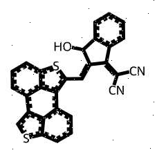 N#CC(C#N)=C1/C(=C/c2sc3cccc4c5csc6cccc(c2c34)c65)C(O)c2ccccc21